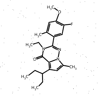 CCC(CC)c1cc(C)n2nc(-c3cc(F)c(OC)cc3C)n(CC)c(=O)c12